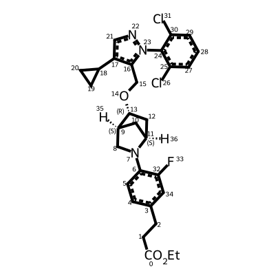 CCOC(=O)CCc1ccc(N2C[C@@H]3C[C@H]2C[C@H]3OCc2c(C3CC3)cnn2-c2c(Cl)cccc2Cl)c(F)c1